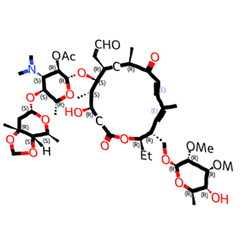 CC[C@H]1OC(=O)C[C@@H](O)[C@H](C)[C@@H](O[C@@H]2O[C@H](C)[C@@H](O[C@H]3C[C@@]4(C)OCO[C@H]4[C@H](C)O3)[C@H](N(C)C)[C@H]2OC(C)=O)[C@@H](CC=O)C[C@@H](C)C(=O)/C=C/C(C)=C/[C@@H]1CO[C@@H]1O[C@H](C)[C@@H](O)[C@@H](OC)[C@H]1OC